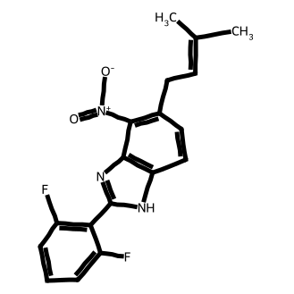 CC(C)=CCc1ccc2[nH]c(-c3c(F)cccc3F)nc2c1[N+](=O)[O-]